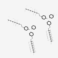 FC(F)(F)C(F)(F)C(F)(F)C(F)(F)C(F)(F)C(F)(F)CCc1ccc(P(c2ccccc2)c2ccc(CCC(F)(F)C(F)(F)C(F)(F)C(F)(F)C(F)(F)C(F)(F)F)cc2)cc1.FC(F)(F)C(F)(F)C(F)(F)C(F)(F)C(F)(F)C(F)(F)CCc1ccc(P(c2ccccc2)c2ccc(CCC(F)(F)C(F)(F)C(F)(F)C(F)(F)C(F)(F)C(F)(F)F)cc2)cc1.[Pt]